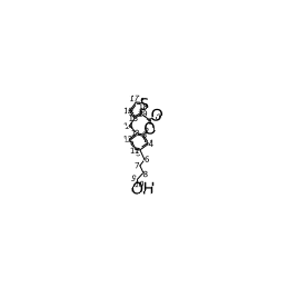 O=C1Oc2cc(CCCCO)ccc2Cc2ccsc21